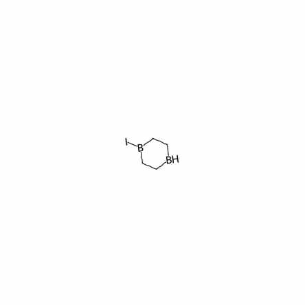 IB1CCBCC1